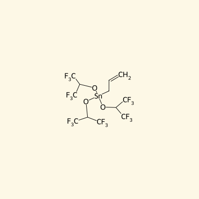 C=C[CH2][Sn]([O]C(C(F)(F)F)C(F)(F)F)([O]C(C(F)(F)F)C(F)(F)F)[O]C(C(F)(F)F)C(F)(F)F